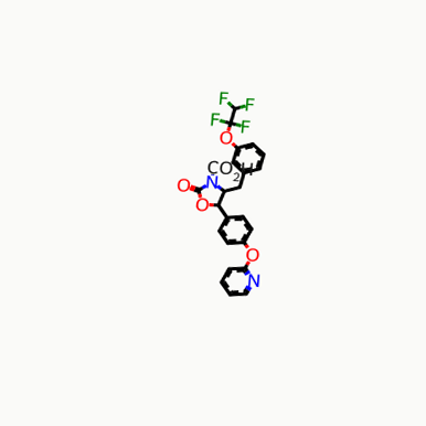 O=C(O)N1C(=O)OC(c2ccc(Oc3ccccn3)cc2)C1Cc1cccc(OC(F)(F)C(F)F)c1